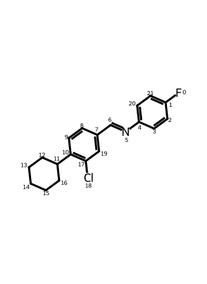 Fc1ccc(/N=C/c2ccc(C3CCCCC3)c(Cl)c2)cc1